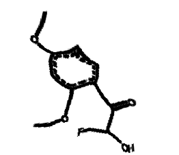 COc1ccc(C(=O)C(O)F)c(OC)c1